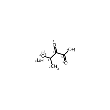 CC(C)C(=O)C(=O)O.[LiH]